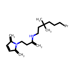 C=C(CCn1c(=C)ccc1=C)NCCC(C)(C)CCCC(C)C